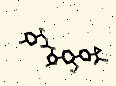 COc1cc(-c2sc(F)cc2NC(=O)O[C@H](C)c2ccc(Cl)cc2)ccc1-c1ccc(C2(C(=O)O)CC2)cc1